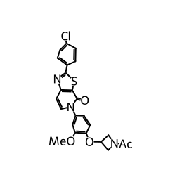 COc1cc(-n2ccc3nc(-c4ccc(Cl)cc4)sc3c2=O)ccc1OC1CN(C(C)=O)C1